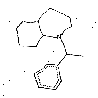 CC(c1ccccc1)N1CCCC2CCCCC21